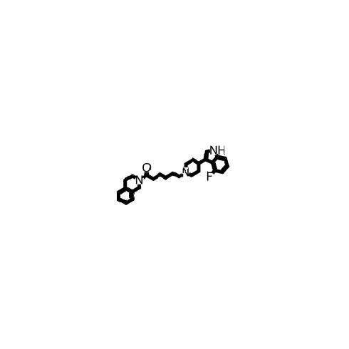 O=C(CCCCCN1CCC(c2c[nH]c3cccc(F)c23)CC1)N1CCc2ccccc2C1